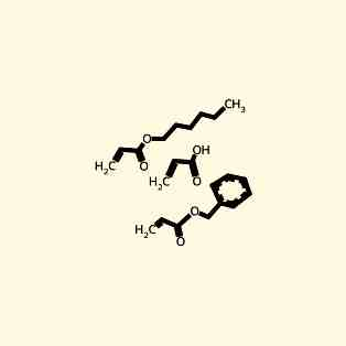 C=CC(=O)O.C=CC(=O)OCCCCCC.C=CC(=O)OCc1ccccc1